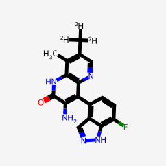 [2H]C([2H])([2H])c1cnc2c(-c3ccc(F)c4[nH]ncc34)c(N)c(=O)[nH]c2c1C